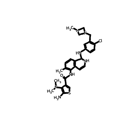 Cc1ccc2c(c1NC(=O)c1csc(N)c1N(C)C)C=CNC2Nc1ccc(Cl)c(CN2CN(C)C2)c1